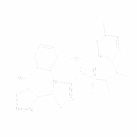 COc1cccc(OC)c1-n1c(NS(=O)(=O)C(C)C(C)c2ncc(F)cn2)nnc1-c1ccn(C)n1